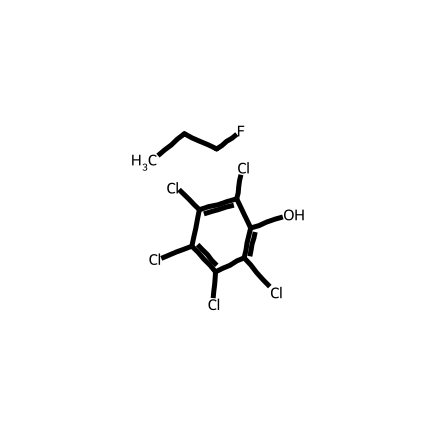 CCCF.Oc1c(Cl)c(Cl)c(Cl)c(Cl)c1Cl